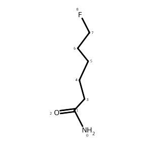 NC(=O)CCCCCF